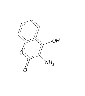 Nc1c(O)c2ccccc2oc1=O